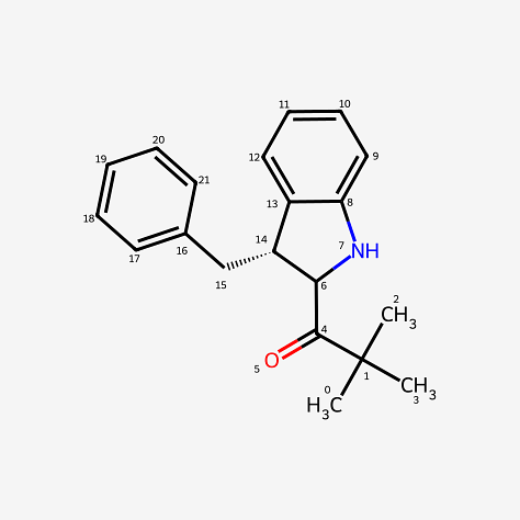 CC(C)(C)C(=O)C1Nc2ccccc2[C@H]1Cc1ccccc1